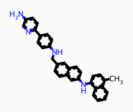 Cc1ccc(Nc2ccc3cc(CNc4ccc(-c5ccc(N)cn5)cc4)ccc3c2)c2ccccc12